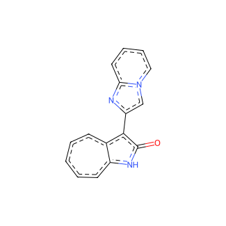 O=c1[nH]c2cccccc-2c1-c1cn2ccccc2n1